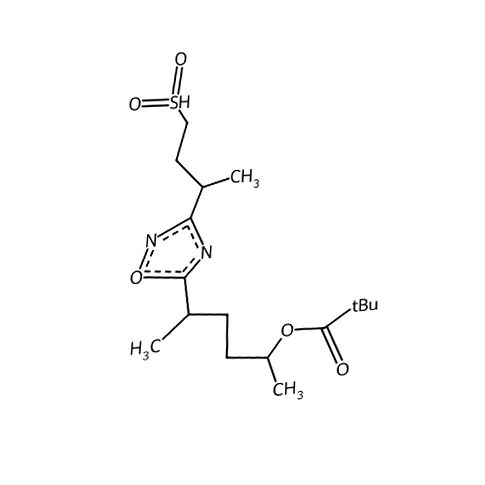 CC(CCC(C)c1nc(C(C)CC[SH](=O)=O)no1)OC(=O)C(C)(C)C